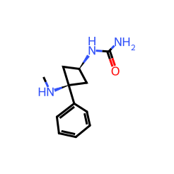 CN[C@]1(c2ccccc2)C[C@H](NC(N)=O)C1